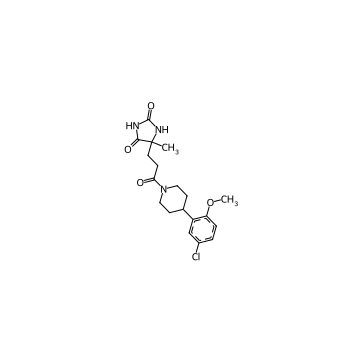 COc1ccc(Cl)cc1C1CCN(C(=O)CCC2(C)NC(=O)NC2=O)CC1